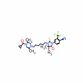 C[C@@H]1CN(C(=O)C2CC2)[C@@H](C)CN1CCCCCCN1C(=S)N(c2ccc(C#N)c(C(F)(F)F)c2)C(=O)C1(C)C